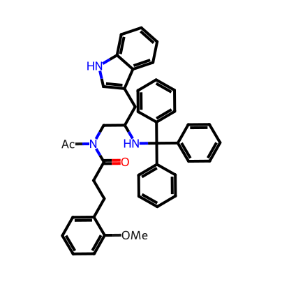 COc1ccccc1CCC(=O)N(CC(Cc1c[nH]c2ccccc12)NC(c1ccccc1)(c1ccccc1)c1ccccc1)C(C)=O